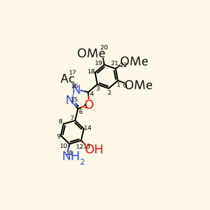 COc1cc(C2OC(c3ccc(N)c(O)c3)=NN2C(C)=O)cc(OC)c1OC